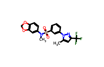 Cc1cc(C(F)(F)F)nn1-c1cccc(S(=O)(=O)N(C)c2ccc3c(c2)OCO3)c1